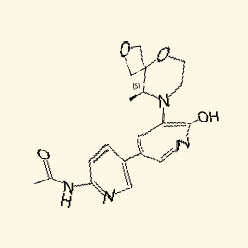 CC(=O)Nc1ccc(-c2cnc(O)c(N3CCOC4(COC4)[C@@H]3C)c2)cn1